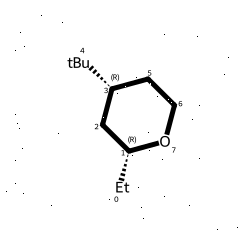 CC[C@@H]1C[C@H](C(C)(C)C)CCO1